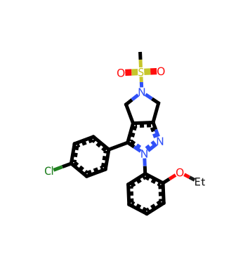 CCOc1ccccc1-n1nc2c(c1-c1ccc(Cl)cc1)CN(S(C)(=O)=O)C2